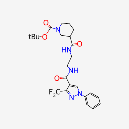 CC(C)(C)OC(=O)N1CCCC(C(=O)NCCNC(=O)c2cn(-c3ccccc3)nc2C(F)(F)F)C1